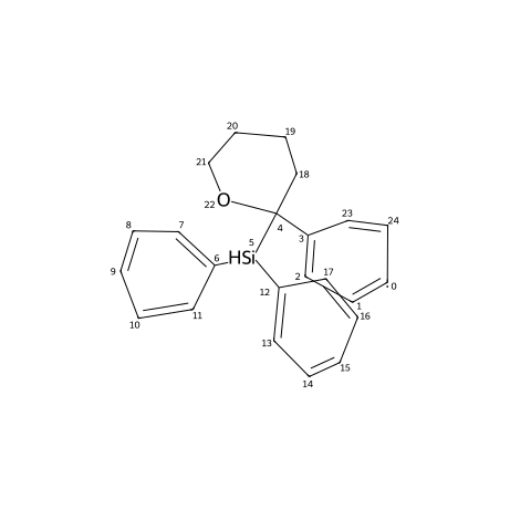 [c]1ccc(C2([SiH](c3ccccc3)c3ccccc3)CCCCO2)cc1